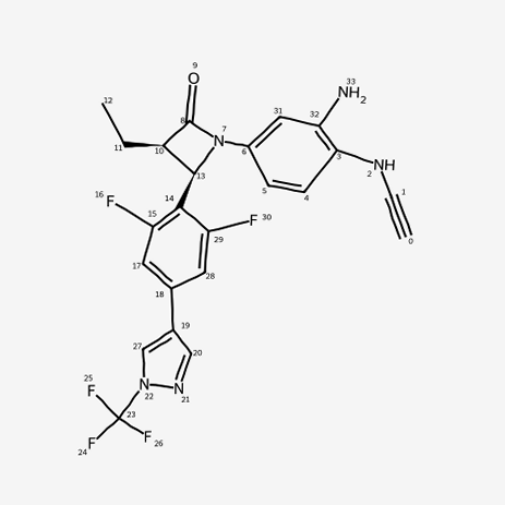 C#CNc1ccc(N2C(=O)[C@H](CC)[C@@H]2c2c(F)cc(-c3cnn(C(F)(F)F)c3)cc2F)cc1N